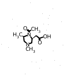 CC(=O)N1[C@@H](CC(=O)O)CN(C)C[C@H]1C